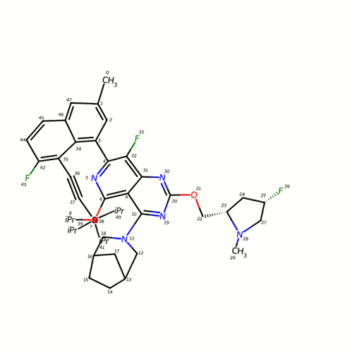 Cc1cc(-c2nc(OC(C)C)c3c(N4CC5CCC(C5)C4)nc(OC[C@@H]4C[C@H](F)CN4C)nc3c2F)c2c(C#C[Si](C(C)C)(C(C)C)C(C)C)c(F)ccc2c1